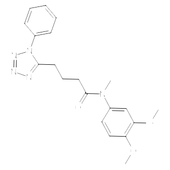 COc1ccc(N(C)C(=O)CCCc2nnnn2-c2ccccc2)cc1OC